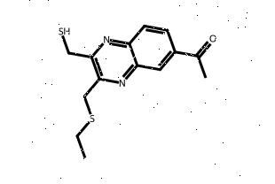 CCSCc1nc2cc(C(C)=O)ccc2nc1CS